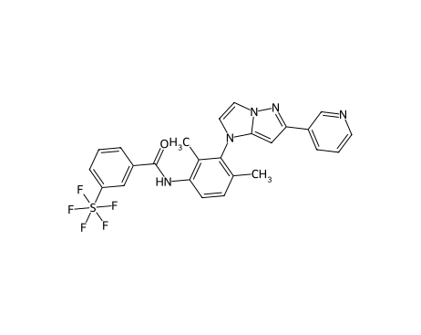 Cc1ccc(NC(=O)c2cccc(S(F)(F)(F)(F)F)c2)c(C)c1-n1ccn2nc(-c3cccnc3)cc12